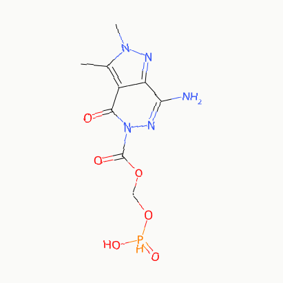 Cc1c2c(=O)n(C(=O)OCO[PH](=O)O)nc(N)c2nn1C